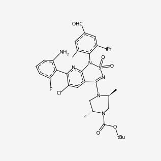 Cc1cc(C=O)cc(C(C)C)c1N1c2nc(-c3c(N)cccc3F)c(Cl)cc2C(N2C[C@@H](C)N(C(=O)OC(C)(C)C)C[C@@H]2C)=NS1(=O)=O